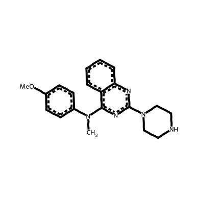 COc1ccc(N(C)c2nc(N3CCNCC3)nc3ccccc23)cc1